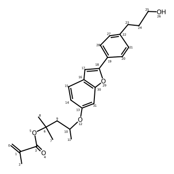 C=C(C)C(=O)OC(C)(C)CC(C)Oc1ccc2cc(-c3ccc(CCCO)cc3)oc2c1